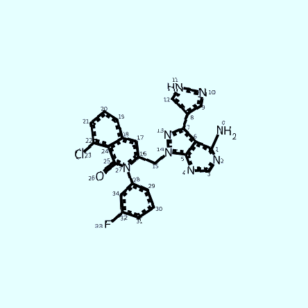 Nc1ncnc2c1c(-c1cn[nH]c1)nn2Cc1cc2cccc(Cl)c2c(=O)n1-c1cccc(F)c1